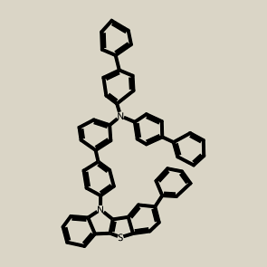 c1ccc(-c2ccc(N(c3ccc(-c4ccccc4)cc3)c3cccc(-c4ccc(-n5c6ccccc6c6sc7ccc(-c8ccccc8)cc7c65)cc4)c3)cc2)cc1